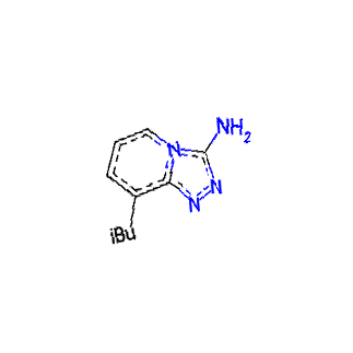 CCC(C)c1cccn2c(N)nnc12